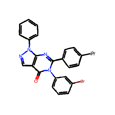 CC(C)c1ccc(-c2nc3c(cnn3-c3ccccc3)c(=O)n2-c2cccc(Br)c2)cc1